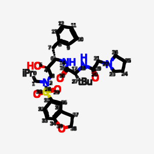 CC(C)CN(C[C@@H](O)[C@H](Cc1ccccc1)NC(=O)[C@@H](NC(=O)CN1CCCC1)C(C)(C)C)S(=O)(=O)c1ccc2c(c1)CCO2